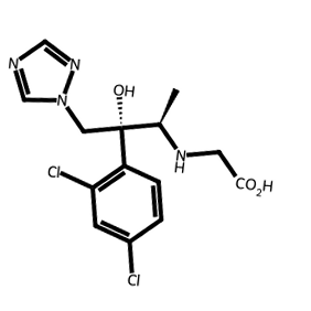 C[C@@H](NCC(=O)O)[C@](O)(Cn1cncn1)c1ccc(Cl)cc1Cl